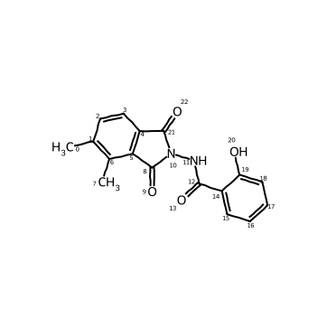 Cc1ccc2c(c1C)C(=O)N(NC(=O)c1ccccc1O)C2=O